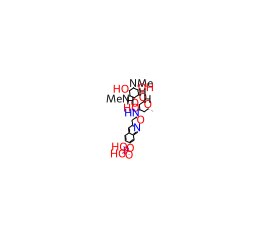 CN[C@@H]1[C@H](O)[C@H](NC)[C@H]2O[C@]3(O)[C@H](O[C@@H]2[C@H]1O)O[C@H](C)C[C@H]3NC(=O)Cc1cc2ccc(OP(=O)(O)O)cc2cn1